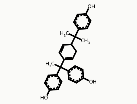 CC(C)([C]1C=CC(C(C)(c2ccc(O)cc2)c2ccc(O)cc2)=CC1)c1ccc(O)cc1